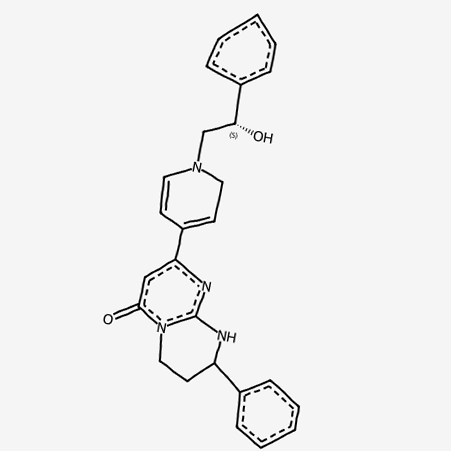 O=c1cc(C2=CCN(C[C@@H](O)c3ccccc3)C=C2)nc2n1CCC(c1ccccc1)N2